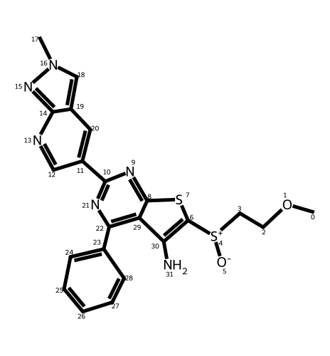 COCC[S+]([O-])c1sc2nc(-c3cnc4nn(C)cc4c3)nc(-c3ccccc3)c2c1N